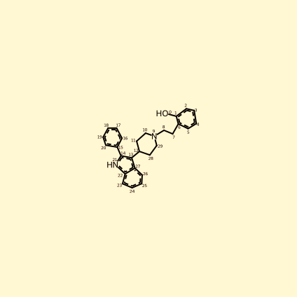 Oc1ccccc1CCN1CCC(c2c(-c3ccccc3)[nH]c3ccccc23)CC1